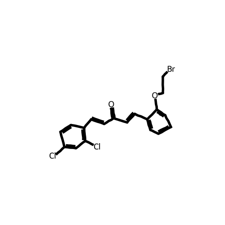 O=C(C=Cc1ccc(Cl)cc1Cl)C=Cc1ccccc1OCCBr